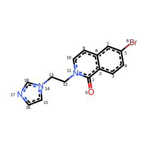 O=c1c2ccc(Br)cc2ccn1CCn1ccnc1